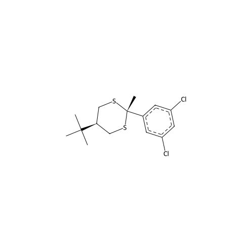 CC(C)(C)[C@H]1CS[C@](C)(c2cc(Cl)cc(Cl)c2)SC1